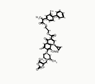 COc1c(N2CCN(Cc3oc(=O)oc3C)C(C)C2)c(F)cc2c(=O)c(C(=O)OCCOC(=O)C(C)c3ccc(-c4ccccc4)c(F)c3)cn(C3CC3)c12